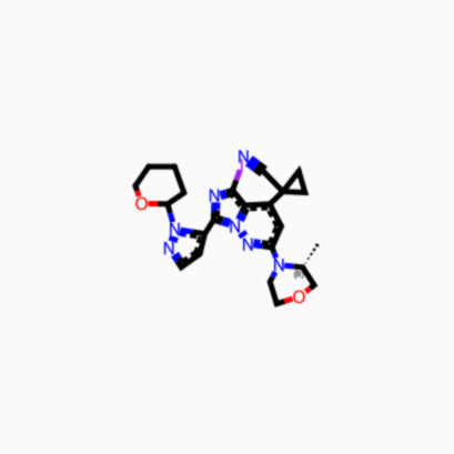 C[C@@H]1COCCN1c1cc(C2(C#N)CC2)c2c(I)nc(-c3ccnn3C3CCCCO3)n2n1